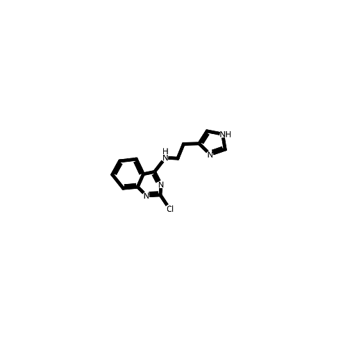 Clc1nc(NCCc2c[nH]cn2)c2ccccc2n1